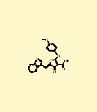 COc1ccc(NC2=C(C(=O)O)C(=O)C(=Cc3c[nH]c4ncccc34)O2)cc1